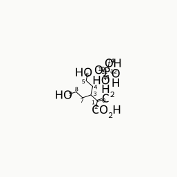 C=C(C(=O)O)C(CCO)CCO.O=P(O)(O)O